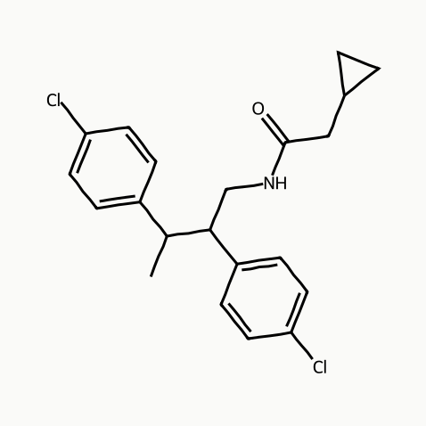 CC(c1ccc(Cl)cc1)C(CNC(=O)CC1CC1)c1ccc(Cl)cc1